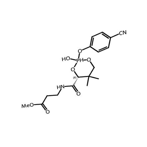 COC(=O)CCNC(=O)[C@@H]1O[PH](O)(Oc2ccc(C#N)cc2)OCC1(C)C